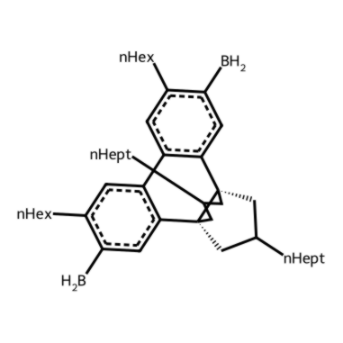 Bc1cc2c(cc1CCCCCC)-c1cc(CCCCCC)c(B)cc1[C@]13CC(CCCCCCC)C[C@]21CC(CCCCCCC)C3